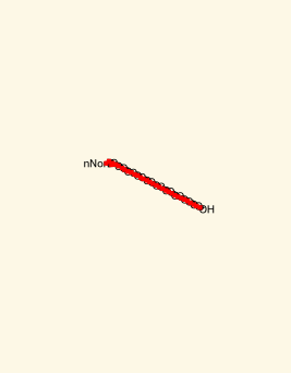 CCCCCCCCCc1ccc(OCCOCCOCCOCCOCCOCCOCCOCCOCCOCCOCCOCCOCCOCCOCCOCCOCCOCCOCCO)cc1